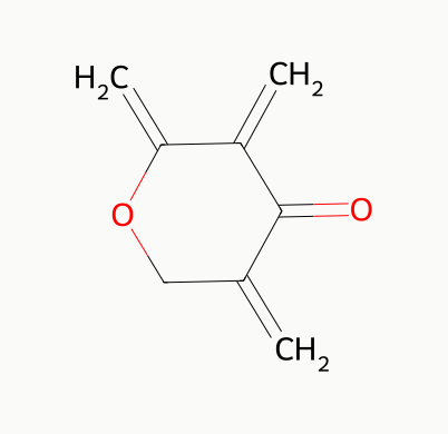 C=C1COC(=C)C(=C)C1=O